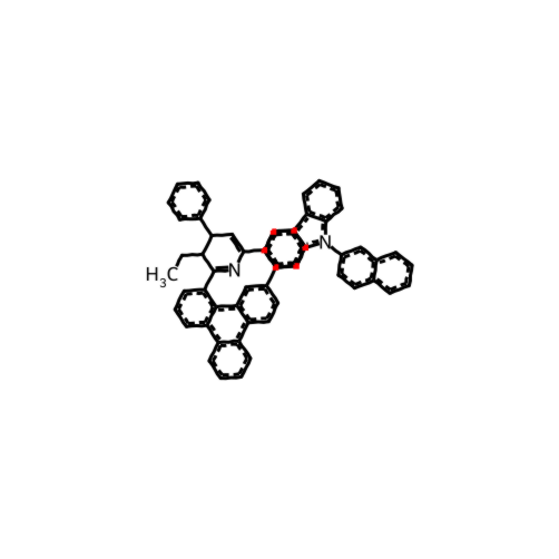 CCC1C(c2cccc3c4ccccc4c4ccc(-c5ccc6c7ccccc7n(-c7ccc8ccccc8c7)c6c5)cc4c23)=NC(c2ccccc2)=CC1c1ccccc1